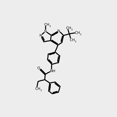 CCC(C(=O)Nc1ccc(-c2cc(C(C)(C)C)nc3c2cnn3C)cc1)c1ccccc1